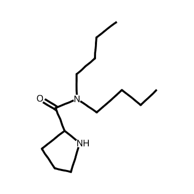 CCCCN(CCCC)C(=O)C1CCCN1